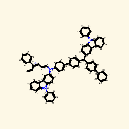 C=C/C(=C\C=C\N(C1=CC=C(c2ccc(C(c3ccc(-c4ccccc4)cc3)c3ccc4c(c3)c3ccccc3n4-c3ccccc3)cc2)CC1)c1ccc2c(c1)c1ccccc1n2-c1ccccc1)c1ccccc1